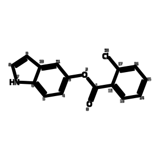 O=C(Oc1ccc2[nH]ccc2c1)c1ccccc1Cl